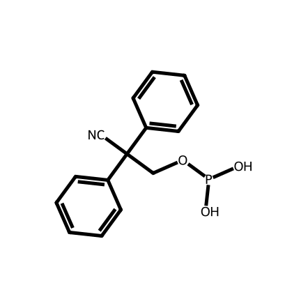 N#CC(COP(O)O)(c1ccccc1)c1ccccc1